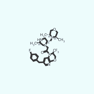 C[C@@H]1CN(CC(=O)N2c3cc(Cc4ccc(F)cc4)cnc3OCC2C(F)(F)F)[C@@H](CN2[C@H](C)COC[C@H]2C)CN1